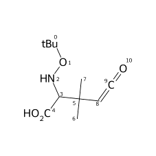 CC(C)(C)ONC(C(=O)O)C(C)(C)C=C=O